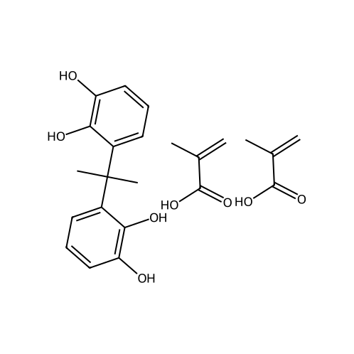 C=C(C)C(=O)O.C=C(C)C(=O)O.CC(C)(c1cccc(O)c1O)c1cccc(O)c1O